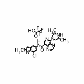 C[C@@H]1CN(c2ncc(C(=O)Nc3cc(Cl)c4nn(C)cc4c3)c3nccnc23)C[C@H](C)N1.O=C(O)C(F)(F)F